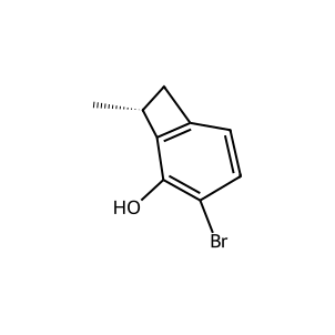 C[C@@H]1Cc2ccc(Br)c(O)c21